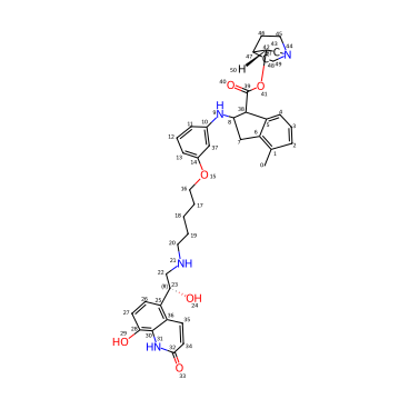 Cc1cccc2c1CC(Nc1cccc(OCCCCCNC[C@H](O)c3ccc(O)c4[nH]c(=O)ccc34)c1)C2C(=O)O[C@H]1CN2CCC1CC2